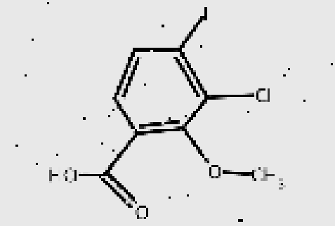 COc1c(C(=O)O)ccc(I)c1Cl